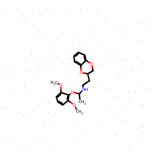 COc1cccc(OC)c1OC(C)NCCC1COc2ccccc2O1